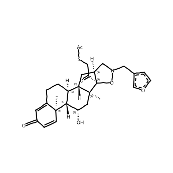 CC(=O)SCC(=O)[C@@]12ON(Cc3ccoc3)C[C@@H]1C[C@H]1[C@@H]3CCC4=CC(=O)C=C[C@]4(C)[C@H]3[C@@H](O)C[C@@]12C